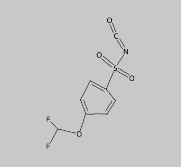 O=C=NS(=O)(=O)c1ccc(OC(F)F)cc1